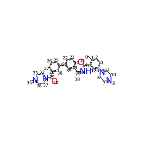 Cc1ccc(N2CCN(C)CC2)cc1C(=O)N[C@H](C)c1cccc(-c2cccc(C(=O)N3CCN(C)CC3)c2)c1